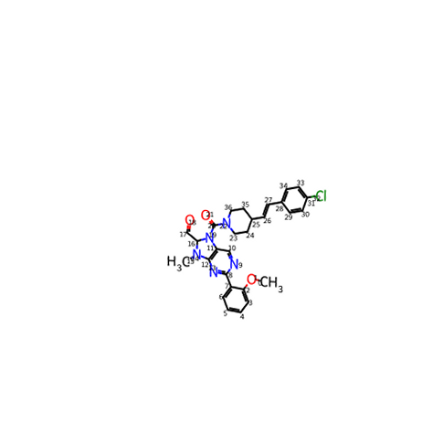 COc1ccccc1-c1ncc2c(n1)N(C)C(C=O)N2C(=O)N1CCC(/C=C/c2ccc(Cl)cc2)CC1